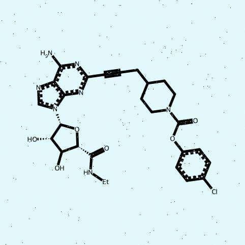 CCNC(=O)[C@H]1O[C@@H](n2cnc3c(N)nc(C#CCC4CCN(C(=O)Oc5ccc(Cl)cc5)CC4)nc32)[C@@H](O)C1O